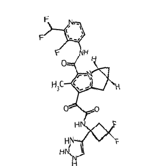 Cc1c(C(=O)C(=O)NC2(C3=CNNN3)CC(F)(F)C2)c2n(c1C(=O)Nc1ccnc(C(F)F)c1F)[C@@H]1C[C@@H]1C2